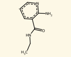 CCNC(=O)c1c[c]cnc1N